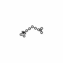 c1ccc(-n2c3ccccc3c3cc(-c4ccc(-c5cccc(-c6ccc(-c7ccc(-c8cnc9c%10ccccc%10c%10ccccc%10c9n8)cc7)cc6)c5)cc4)ccc32)cc1